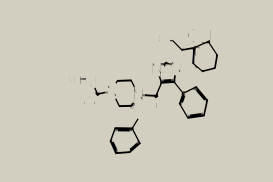 CC(C)(C)OC(=O)N1CCN(C(=O)c2ncn([C@H]3CCCC[C@]3(O)CCl)c2-c2ccccc2)[C@H](Cc2ccccc2)C1